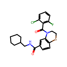 O=C(NCC1CCCCC1)c1ccc2c(c1)N(C(=O)c1c(F)cccc1Cl)CCS2